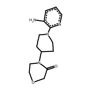 Nc1cccnc1N1CCC(N2CCOCC2=O)CC1